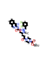 CC(=O)N(NCc1cccc(F)c1F)[C@@H](CCC(=O)N1CCN(C(=O)OC(C)(C)C)CC1)COC(=O)Nc1cc2ccccc2cn1